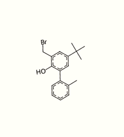 Cc1ccccc1-c1cc(C(C)(C)C)cc(CBr)c1O